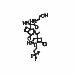 CC(N1CC2(C(=N)C(=O)NCCO)C=CC2C1=O)C1(C=N)CC(Cl)=C1OCCC(F)(F)F